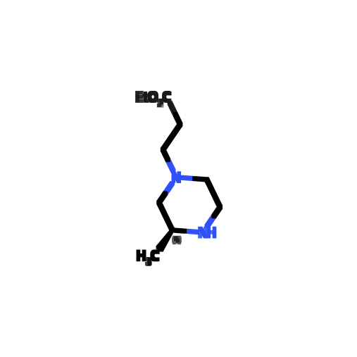 CCOC(=O)CCN1CCN[C@@H](C)C1